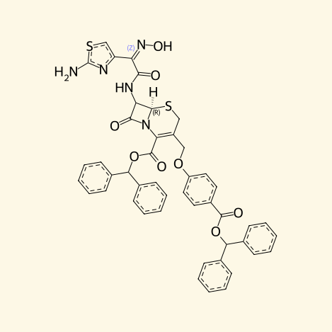 Nc1nc(/C(=N/O)C(=O)NC2C(=O)N3C(C(=O)OC(c4ccccc4)c4ccccc4)=C(COc4ccc(C(=O)OC(c5ccccc5)c5ccccc5)cc4)CS[C@H]23)cs1